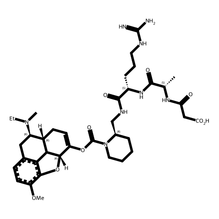 CCN(C)[C@@H]1Cc2ccc(OC)c3c2C2[C@H]1CC=C(OC(=O)N1CCCC[C@@H]1CNC(=O)[C@H](CCCNC(=N)N)NC(=O)[C@H](C)NC(=O)CC(=O)O)[C@@H]2O3